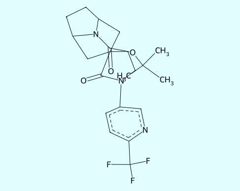 CC(C)(C)OC(=O)N1C2CCC1CC1(CCN(c3ccc(C(F)(F)F)nc3)C1=O)C2